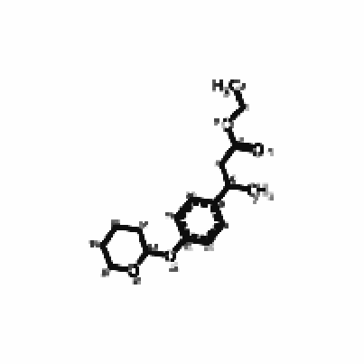 CCOC(=O)CC(C)c1ccc(OC2CCCCO2)cc1